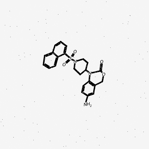 Nc1ccc2c(c1)COC(=O)N2C1CCN(S(=O)(=O)c2cccc3ccccc23)CC1